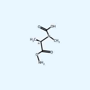 C[C@H](C(=O)ON)N(C)C(=O)O